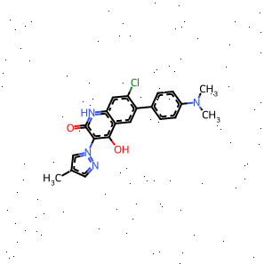 Cc1cnn(-c2c(O)c3cc(-c4ccc(N(C)C)cc4)c(Cl)cc3[nH]c2=O)c1